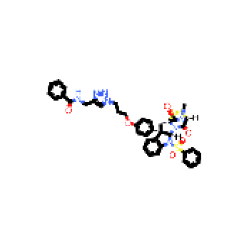 CN1C(=O)[C@@]23C[C@]4(c5ccc(OCCCn6cc(CNC(=O)c7ccccc7)nn6)cc5)c5ccccc5N(S(=O)(=O)c5ccccc5)[C@@H]4N2C(=O)[C@@H]1SS3